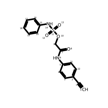 C#Cc1ccc(NC(=O)COS(=O)(=O)Nc2ccccc2)cc1